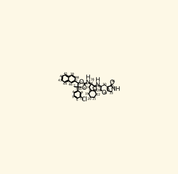 CC(C)(c1cccc(Cl)c1)C(OC(=O)N[C@](C)(CC1CCCCC1)C(=O)N[C@H](C=O)C[C@@H]1CCNC1=O)c1ccc2ccccc2c1